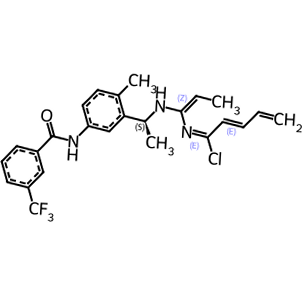 C=C/C=C/C(Cl)=N\C(=C/C)N[C@@H](C)c1cc(NC(=O)c2cccc(C(F)(F)F)c2)ccc1C